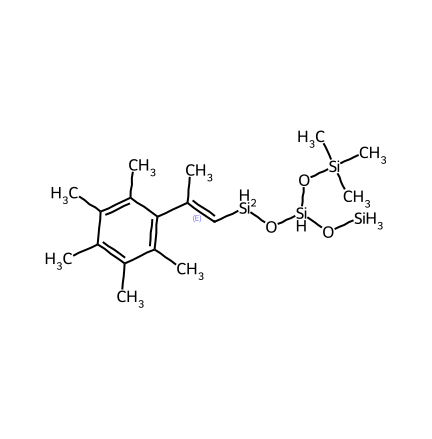 C/C(=C\[SiH2]O[SiH](O[SiH3])O[Si](C)(C)C)c1c(C)c(C)c(C)c(C)c1C